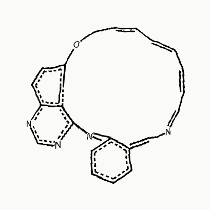 C1=C\C=C\C=C/COc2ccc3ncnc(c3c2)\N=c2/cccc/c2=C\N=C/1